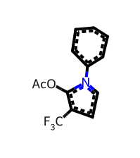 CC(=O)Oc1c(C(F)(F)F)ccn1-c1ccccc1